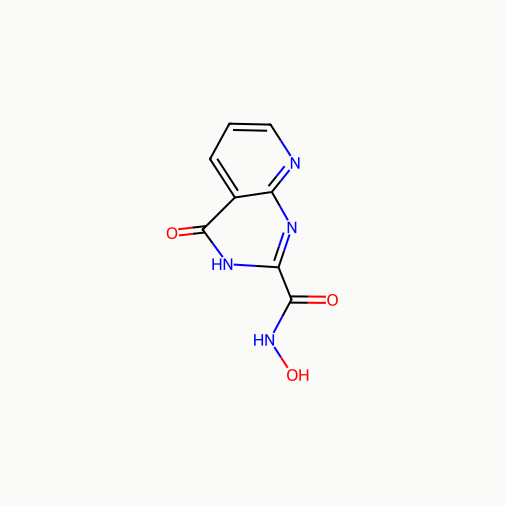 O=C(NO)c1nc2ncccc2c(=O)[nH]1